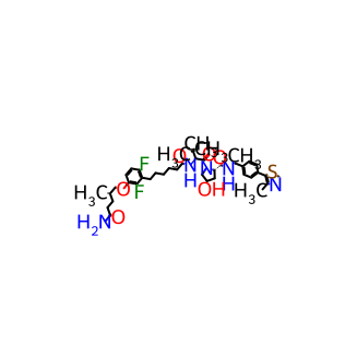 Cc1ncsc1-c1ccc([C@H](C)NC(=O)[C@@H]2C[C@@H](O)CN2C(=O)[C@@H](NC(=O)CCCCCc2c(F)ccc(OC[C@@H](C)CCC(N)=O)c2F)C(C)(C)C)cc1